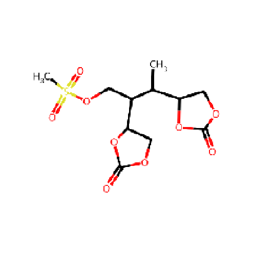 CC(C1COC(=O)O1)C(COS(C)(=O)=O)C1COC(=O)O1